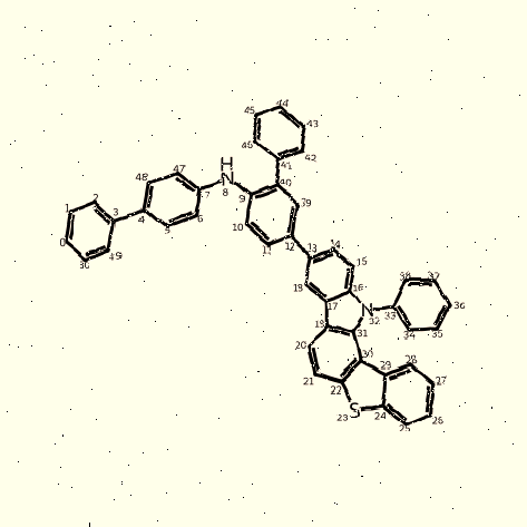 c1ccc(-c2ccc(Nc3ccc(-c4ccc5c(c4)c4ccc6sc7ccccc7c6c4n5-c4ccccc4)cc3-c3ccccc3)cc2)cc1